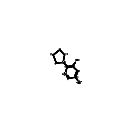 Fc1cc(Br)cnc1N1CCCC1